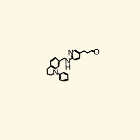 O=CCCc1ccc(NCc2ccc3c(c2)N(c2ccccc2)CCC3)nc1